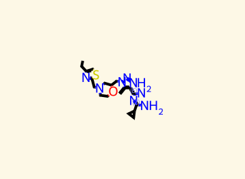 C=c1/c(=C(N)\N=C(/N)C2CC2)nnn1CC1CN(Cc2nc(CC)cs2)CCO1